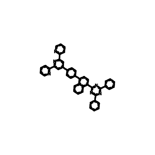 c1ccc(-c2nc(-c3ccccc3)nc(-c3ccc(-c4ccc(-c5cc(-c6ccccn6)nc(-c6ccccn6)c5)cc4)c4ccccc34)n2)cc1